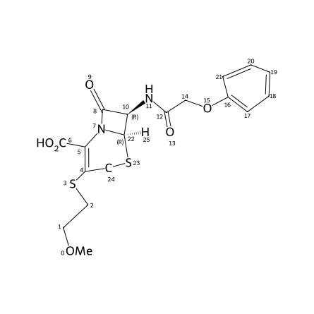 COCCSC1=C(C(=O)O)N2C(=O)[C@@H](NC(=O)COc3ccccc3)[C@H]2SC1